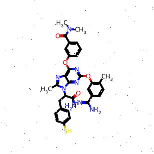 Cc1ccc(C(=N)N)cc1Oc1nc(Oc2cccc(C(=O)N(C)C)c2)c2nc(C)n(C(Cc3ccc(S)cc3)C(N)=O)c2n1